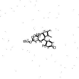 Cc1sc2c(c1C)C(c1ccc(Cl)cc1F)=N[C@@H](CC(=O)OC(C)(C)C)C(=O)N2